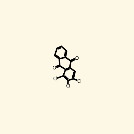 O=C1c2ccccc2C(=O)c2c1cc(Cl)c(Cl)c2Cl